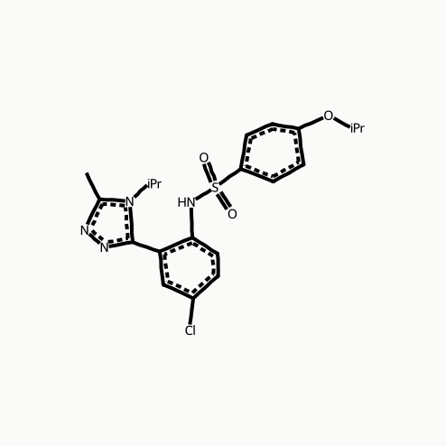 Cc1nnc(-c2cc(Cl)ccc2NS(=O)(=O)c2ccc(OC(C)C)cc2)n1C(C)C